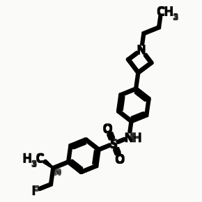 CCCN1CC(c2ccc(NS(=O)(=O)c3ccc([C@H](C)CF)cc3)cc2)C1